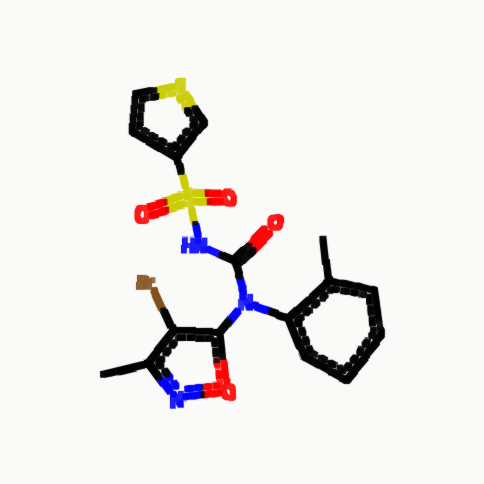 Cc1ccccc1N(C(=O)NS(=O)(=O)c1ccsc1)c1onc(C)c1Br